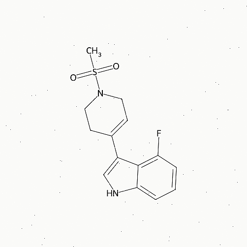 CS(=O)(=O)N1CC=C(c2c[nH]c3cccc(F)c23)CC1